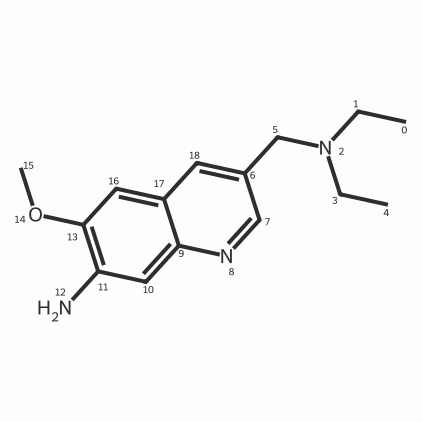 CCN(CC)Cc1cnc2cc(N)c(OC)cc2c1